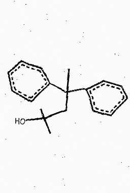 CC(C)(O)CC(C)(c1ccccc1)c1ccccc1